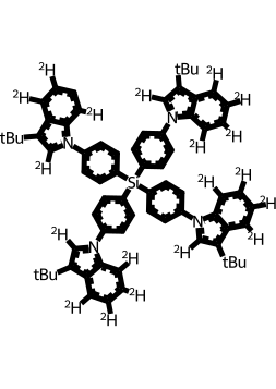 [2H]c1cc([2H])c2c(c1[2H])c(C(C)(C)C)c([2H])n2-c1ccc([Si](c2ccc(-n3c([2H])c(C(C)(C)C)c4c([2H])c([2H])c([2H])c([2H])c43)cc2)(c2ccc(-n3c([2H])c(C(C)(C)C)c4c([2H])c([2H])c([2H])c([2H])c43)cc2)c2ccc(-n3c([2H])c(C(C)(C)C)c4c([2H])c([2H])c([2H])c([2H])c43)cc2)cc1